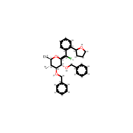 CC[C@H]1OC(=C(F)c2ccccc2C2CCCO2)[C@H](OCc2ccccc2)[C@@H](OCc2ccccc2)[C@@H]1C